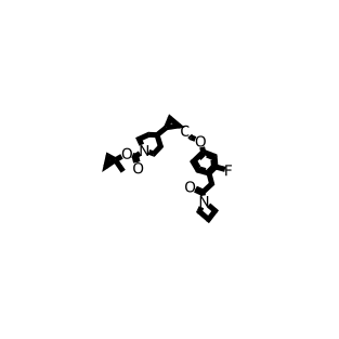 CC1(OC(=O)N2CCC(C3C[C@H]3CCOc3ccc(CC(=O)N4CCC4)c(F)c3)CC2)CC1